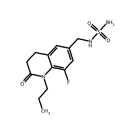 BS(=O)(=O)NCc1cc(F)c2c(c1)CCC(=O)N2CCC